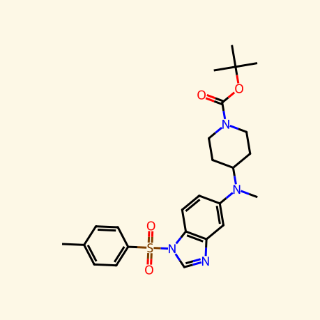 Cc1ccc(S(=O)(=O)n2cnc3cc(N(C)C4CCN(C(=O)OC(C)(C)C)CC4)ccc32)cc1